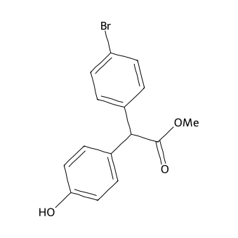 COC(=O)C(c1ccc(O)cc1)c1ccc(Br)cc1